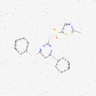 Cc1ncc(S(=O)(=O)Nc2nc(Oc3ccccc3)cc(-c3ccccc3)n2)s1